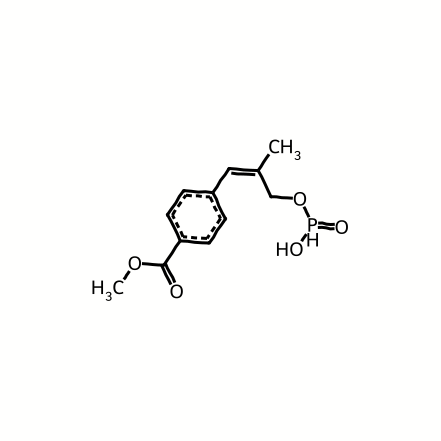 COC(=O)c1ccc(C=C(C)CO[PH](=O)O)cc1